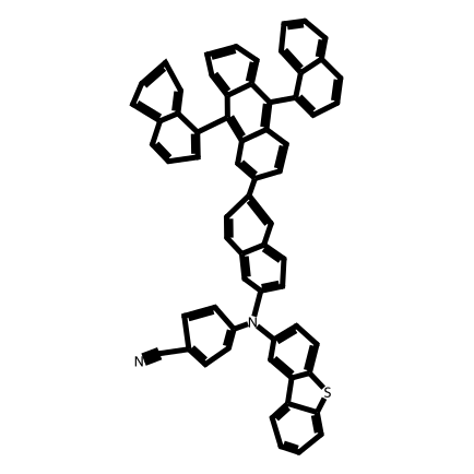 N#Cc1ccc(N(c2ccc3cc(-c4ccc5c(-c6cccc7ccccc67)c6ccccc6c(-c6cccc7ccccc67)c5c4)ccc3c2)c2ccc3sc4ccccc4c3c2)cc1